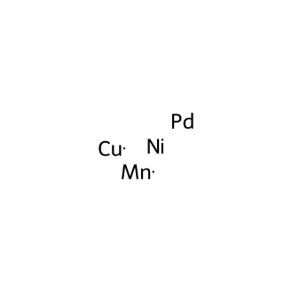 [Cu].[Mn].[Ni].[Pd]